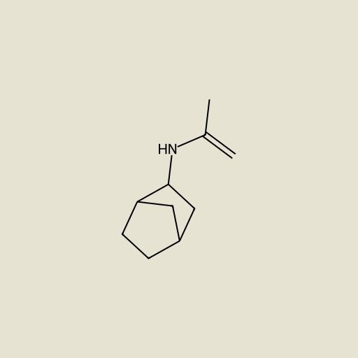 C=C(C)NC1CC2CCC1C2